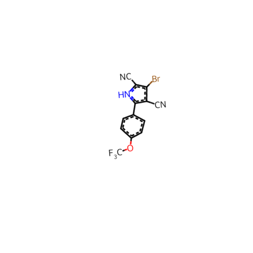 N#Cc1[nH]c(-c2ccc(OC(F)(F)F)cc2)c(C#N)c1Br